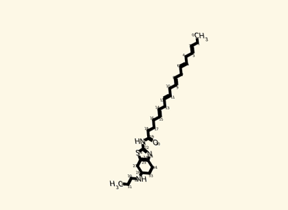 CCC=CCC=CCC=CCC=CCC=CCCCC(=O)Nc1nc2c(s1)CC(NCCC)CC2